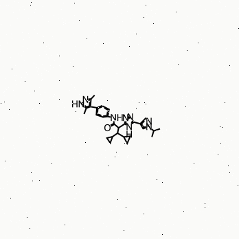 Cc1n[nH]c(C)c1-c1ccc(NC(=O)C(c2nnc(-c3cnn(C(C)C)c3)[nH]2)C(C2CC2)C2CC2)cc1